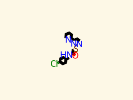 O=C(CSc1nccc(-c2ccccn2)n1)NCc1ccc(Cl)cc1